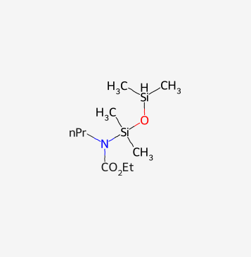 CCCN(C(=O)OCC)[Si](C)(C)O[SiH](C)C